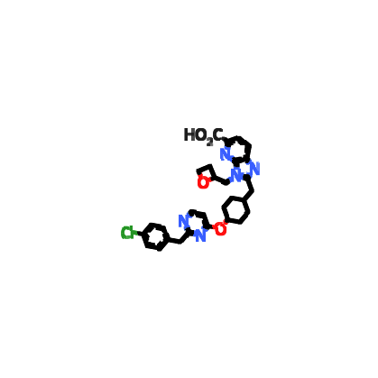 O=C(O)c1ccc2nc(CC3CCC(Oc4ccnc(Cc5ccc(Cl)cc5)n4)CC3)n(CC3CCO3)c2n1